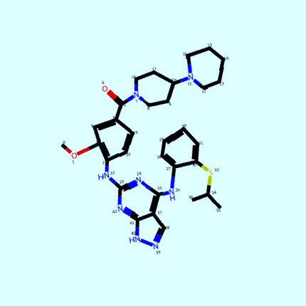 COc1cc(C(=O)N2CCC(N3CCCCC3)CC2)ccc1Nc1nc(Nc2ccccc2SC(C)C)c2cn[nH]c2n1